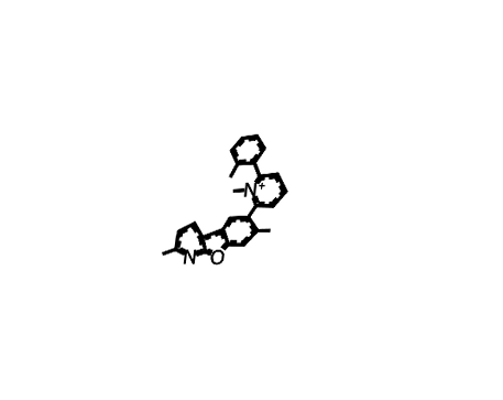 Cc1ccc2c(n1)oc1cc(C)c(-c3cccc(-c4ccccc4C)[n+]3C)cc12